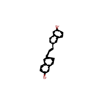 Brc1ccc2cc(C=Cc3ccc4cc(Br)ccc4c3)ccc2c1